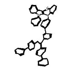 c1ccc(-c2ccc(CC(c3ccc(-c4ccccc4)cc3)c3cccc(-c4ccc(N5c6ccccc6Sc6c5n(-c5ccccc5)c5ccccc65)cc4)c3)cc2)cc1